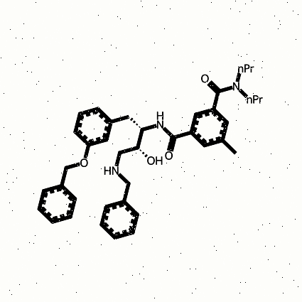 CCCN(CCC)C(=O)c1cc(C)cc(C(=O)N[C@@H](Cc2cccc(OCc3ccccc3)c2)[C@H](O)CNCc2ccccc2)c1